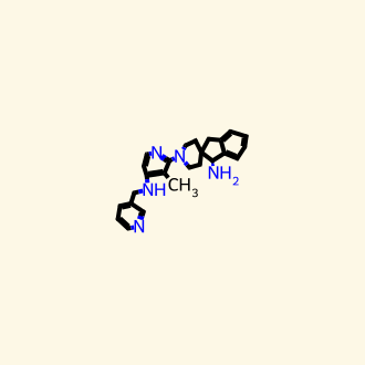 Cc1c(NCc2cccnc2)ccnc1N1CCC2(CC1)Cc1ccccc1[C@H]2N